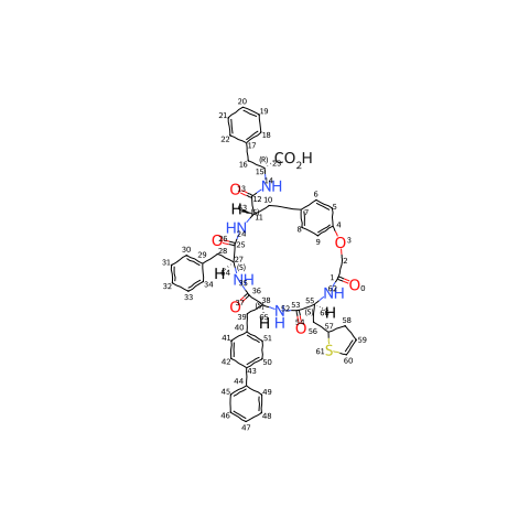 O=C1COc2ccc(cc2)C[C@@H](C(=O)N[C@H](Cc2ccccc2)C(=O)O)NC(=O)[C@H](Cc2ccccc2)NC(=O)[C@H](Cc2ccc(-c3ccccc3)cc2)NC(=O)[C@H](CC2CC=CS2)N1